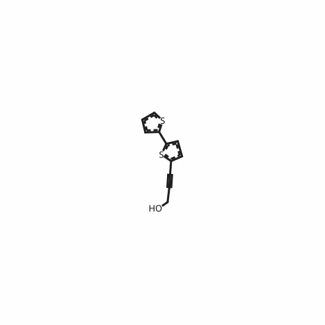 OCC#Cc1ccc(-c2cccs2)s1